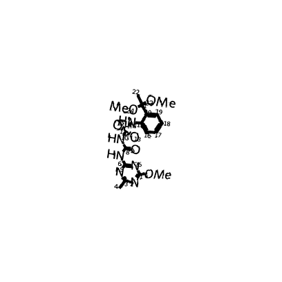 COc1nc(C)nc(NC(=O)NS(=O)(=O)Nc2ccccc2C(C)(OC)OC)n1